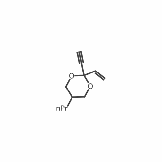 C#CC1(C=C)OCC(CCC)CO1